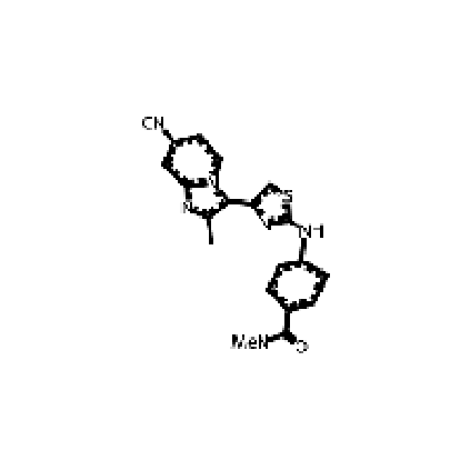 [C-]#[N+]c1ccn2c(-c3csc(Nc4ccc(C(=O)NC)cc4)n3)c(C)nc2c1